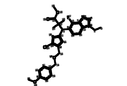 CCn1nnc2c(F)c(C(c3cc(COCc4ccc(OC)cc4)c(Cl)s3)C(C)(C)C(=O)OC)ccc21